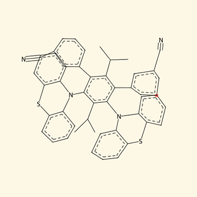 CC(C)c1c(-c2cccc(C#N)c2)c(N2c3ccccc3Sc3ccccc32)c(C(C)C)c(N2c3ccccc3Sc3ccccc32)c1-c1cccc(C#N)c1